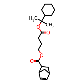 CC(C)(OC(=O)CCCOC(=O)C1CC2C=CC1C2)C1CCCCC1